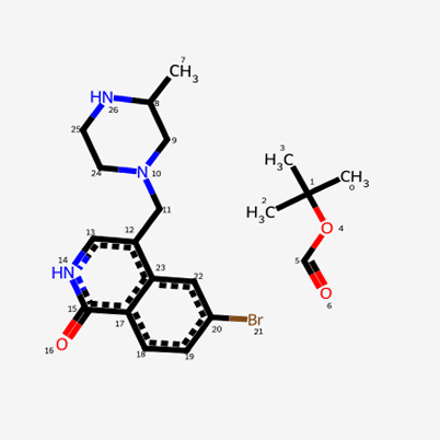 CC(C)(C)OC=O.CC1CN(Cc2c[nH]c(=O)c3ccc(Br)cc23)CCN1